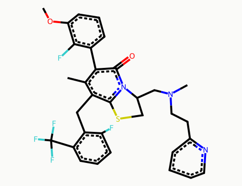 COc1cccc(-c2c(C)c(Cc3c(F)cccc3C(F)(F)F)c3n(c2=O)C(CN(C)CCc2ccccn2)CS3)c1F